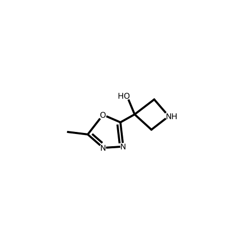 Cc1nnc(C2(O)CNC2)o1